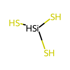 S[SiH](S)S